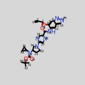 C#CCOc1cc2nn(C)cc2cc1NC(=O)c1cnc(N2CC[C@@H](N(C(=O)OC(C)(C)C)C3CC3)C2)cn1